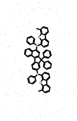 Cc1cccc2c1oc1c(N(c3ccccc3)c3ccc4c(c3)C(c3ccccc3)(c3ccccc3)c3cc(N(c5ccccc5)c5cccc6c5oc5c(C)cccc56)c5ccccc5c3-4)cccc12